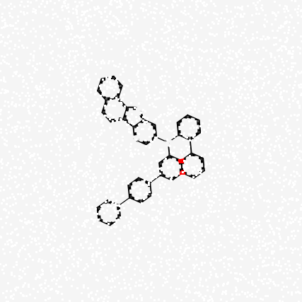 c1ccc(-c2ccc(-c3cccc(N(c4cnc5c(c4)oc4c6ccccc6ccc54)c4ccccc4-c4ccccc4)c3)cc2)cc1